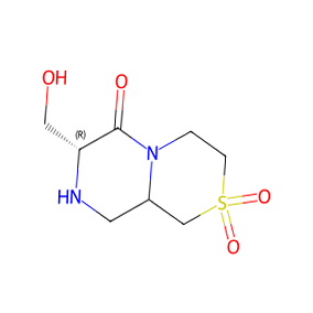 O=C1[C@@H](CO)NCC2CS(=O)(=O)CCN12